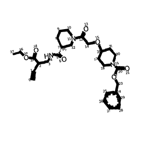 C#CC(CNC(=O)[C@@H]1CCCN(C(=O)COC2CCN(C(=O)OCc3ccccc3)CC2)C1)C(=O)OCC